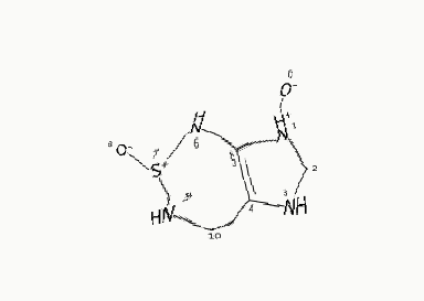 [O-][NH+]1CNC2=C1N[S+]([O-])NC2